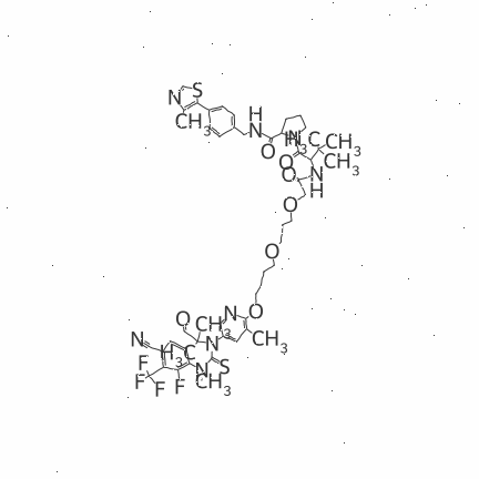 Cc1cc(N(C(=S)N(C)c2ccc(C#N)c(C(F)(F)F)c2F)C(C)(C)C=O)cnc1OCCCCOCCCOCC(=O)NC(C(=O)N1CCCC1C(=O)NCc1ccc(-c2scnc2C)cc1)C(C)(C)C